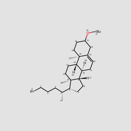 CC(C)CCC[C@@H](C)[C@H]1CC[C@H]2[C@@H]3CC=C4CC(OC(C)(C)C)CC[C@]4(C)[C@H]3CC[C@]12C